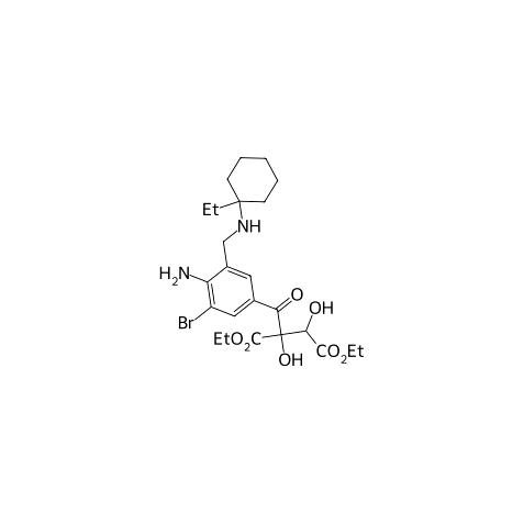 CCOC(=O)C(O)C(O)(C(=O)OCC)C(=O)c1cc(Br)c(N)c(CNC2(CC)CCCCC2)c1